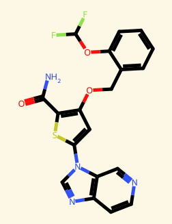 NC(=O)c1sc(-n2cnc3ccncc32)cc1OCc1ccccc1OC(F)F